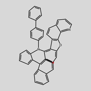 c1ccc(-c2ccc(N(c3ccccc3-c3cccc4ccccc34)c3cccc4oc5c(ccc6cccnc65)c34)cc2)cc1